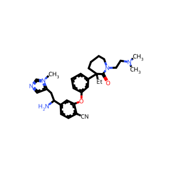 CCC1(c2cccc(Oc3cc(C(N)Cc4cncn4C)ccc3C#N)c2)CCCCN(CCN(C)C)C1=O